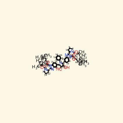 CC(C)(C)OC(=O)N1CCCC1c1nc2cc([C@H]3[C@@H](O)[C@H](O)C(c4ccc5c(c4)nc([C@@H]4CCCN4C(=O)OC(C)(C)C)n5COCC[Si](C)(C)C)N3c3ccccc3)ccc2n1COCC[Si](C)(C)C